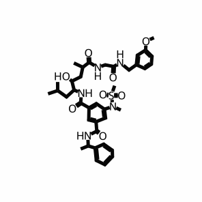 COc1cccc(CNC(=O)CNC(=O)C(C)CC(O)C(CC(C)C)NC(=O)c2cc(C(=O)NC(C)c3ccccc3)cc(N(C)S(C)(=O)=O)c2)c1